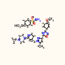 Cc1cc(-c2nc(-c3ccc(OC(F)(F)F)cc3)no2)nn1Cc1ccnc(N2CCN(C3CC3)CC2)c1.NS(=O)(=O)c1ccc(C(=O)O)cc1